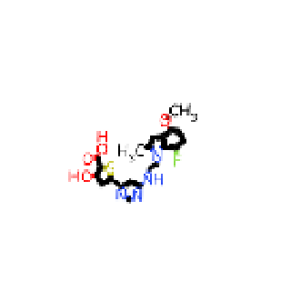 COc1ccc(F)c2c1cc(C)n2CCNc1cc(-c2cc(O)c(C(=O)O)s2)ncn1